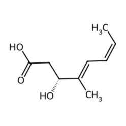 C/C=C\C=C(/C)[C@H](O)CC(=O)O